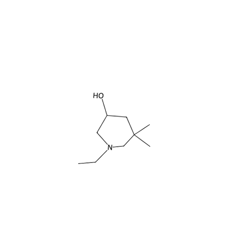 CCN1CC(O)CC(C)(C)C1